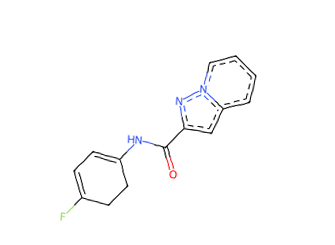 O=C(NC1=CC=C(F)CC1)c1cc2ccccn2n1